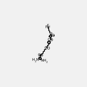 COc1cc(C(=O)Oc2ccc(C=CC(=O)OCCCCCCOC(=O)c3cc(N)cc(N)c3)cc2)ccc1OCCCCCC(F)(F)F